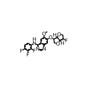 COc1cc2c(Nc3ccc(F)c(F)c3F)ncnc2cc1OC1CO[C@H]2[C@H](F)CO[C@@H]12